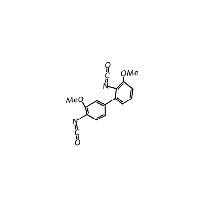 COc1cc(-c2cccc(OC)c2N=C=O)ccc1N=C=O